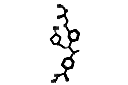 CCCNC(=O)c1ccc(N(C)[C@H](CN2CC[C@H](O)C2)c2cccc(OCC(=O)OC(C)(C)C)c2)cc1